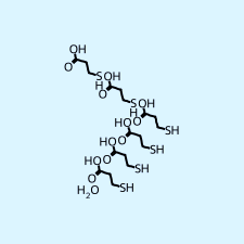 O.O=C(O)CCS.O=C(O)CCS.O=C(O)CCS.O=C(O)CCS.O=C(O)CCS.O=C(O)CCS